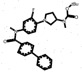 CN(C(=O)c1ccc(-c2ccccc2)cc1)c1ccc(N2CCC(N(C)C(=O)OC(C)(C)C)C2)c(F)c1